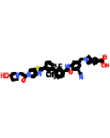 Cc1c(-c2nc3cc(CN4CC5(CC(C(=O)O)C5)C4)cc(C#N)c3o2)cccc1-c1cccc(-c2nc3c(s2)CN(C(=O)CN2CC[C@@H](O)C2)C3)c1C